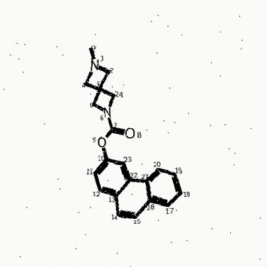 CN1CC2(C1)CN(C(=O)Oc1ccc3ccc4ccccc4c3c1)C2